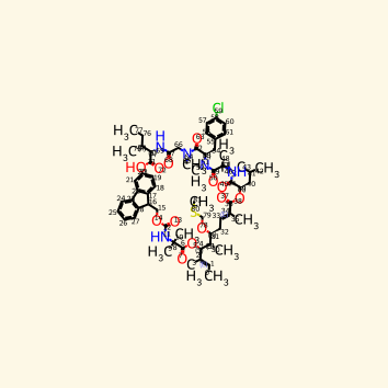 C/C=C(\C)[C@@H](OC(=O)C(C)(C)NC(=O)OCC1c2ccccc2-c2ccccc21)[C@@H](C)[C@H](C/C=C(\C)C(=O)O[C@H](CC(C)C)C(=O)N[C@@H](C)C(=O)N(C)[C@H](Cc1ccc(Cl)cc1)C(=O)N(C)CC(=O)N[C@H](C(=O)O)[C@H](C)CC)OCSC